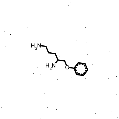 NCCCC(N)COc1ccccc1